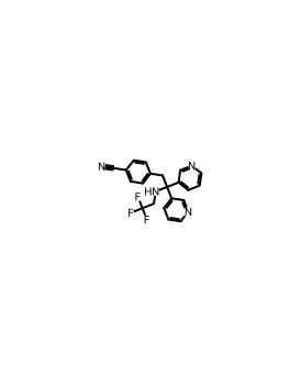 N#Cc1ccc(CC(NCC(F)(F)F)(c2cccnc2)c2cccnc2)cc1